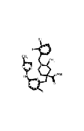 COC(=O)C1(Cc2nc(Nc3nc(C)cs3)ccc2F)CCN(Cc2cccc(Cl)c2F)C(C)C1